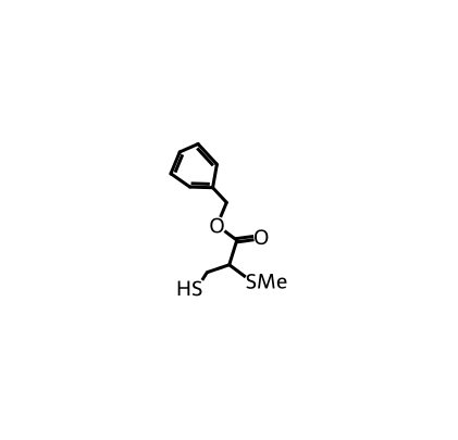 CSC(CS)C(=O)OCc1ccccc1